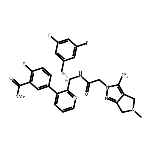 CNC(=O)c1cc(-c2cccnc2[C@H](Cc2cc(F)cc(F)c2)NC(=O)Cn2nc3c(c2C(F)(F)F)CN(C)C3)ccc1F